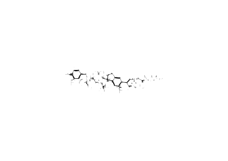 CNC(=O)Cn1cc(-c2cc3c(cc2F)C2(CC3)OC(=O)N(CC(=O)N(Cc3ccc(F)cc3)[C@@H](C)C(F)(F)F)C2=O)cn1